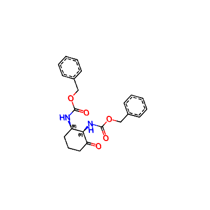 O=C(N[C@@H]1CCCC(=O)[C@@H]1NC(=O)OCc1ccccc1)OCc1ccccc1